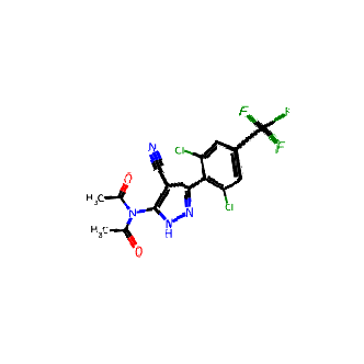 CC(=O)N(C(C)=O)c1[nH]nc(-c2c(Cl)cc(C(F)(F)F)cc2Cl)c1C#N